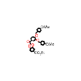 CCOC(=O)c1ccc2c(c1)OC(C(=O)C1C=C(OCc3ccc(OC)cc3)C(OCc3ccc(OC)cc3)=CC1)O2